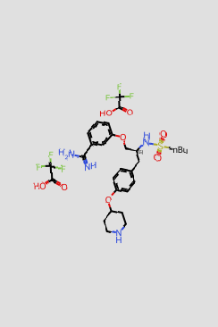 CCCCS(=O)(=O)N[C@H](COc1cccc(C(=N)N)c1)Cc1ccc(OC2CCNCC2)cc1.O=C(O)C(F)(F)F.O=C(O)C(F)(F)F